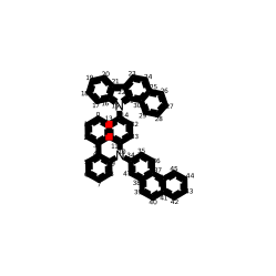 c1ccc(-c2ccccc2N(c2ccc(-n3c4ccccc4c4ccc5ccccc5c43)cc2)c2ccc3c(ccc4ccccc43)c2)cc1